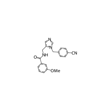 COc1cccc(C(=O)NCc2cncn2Cc2ccc(C#N)cc2)c1